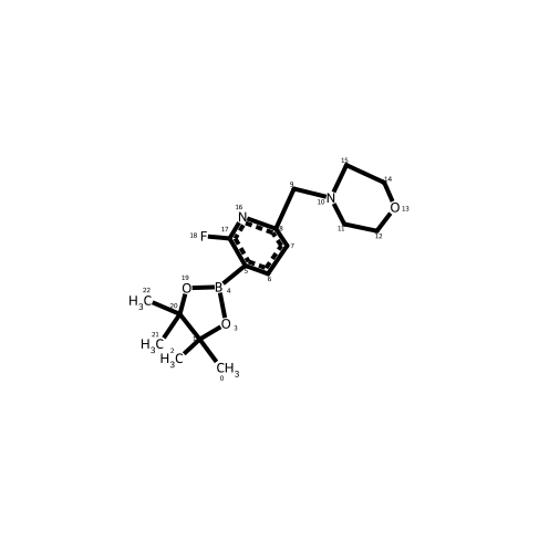 CC1(C)OB(c2ccc(CN3CCOCC3)nc2F)OC1(C)C